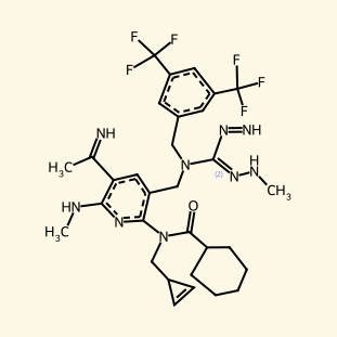 CN/N=C(\N=N)N(Cc1cc(C(F)(F)F)cc(C(F)(F)F)c1)Cc1cc(C(C)=N)c(NC)nc1N(CC1C=C1)C(=O)C1CCCCC1